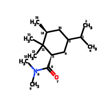 CC(C)C1C[C@H](C(=O)N(C)C)C(C)(C)[C@@H](C)C1